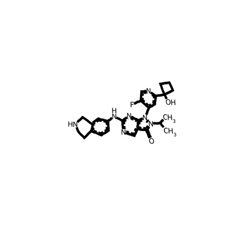 CC(C)n1c(=O)c2cnc(Nc3ccc4c(c3)CNCC4)nc2n1-c1cc(C2(O)CCC2)ncc1F